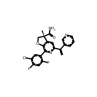 C=C(c1cccnc1)c1cc2c(c(-c3cc(Cl)c(F)cc3F)n1)OC[C@]2(C)C(N)=O